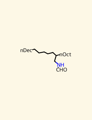 CCCCCCCCCCCCCCCC(CCCCCCCC)CNC=O